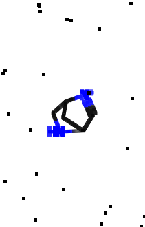 C1#[N+]C2CNC1C2